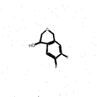 OC1COCc2cc(F)c(F)cc21